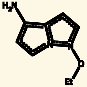 CCOn1ccc2c(N)ccn21